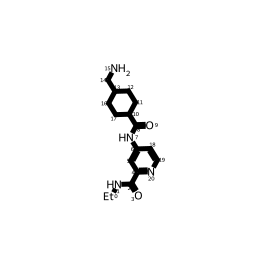 CCNC(=O)c1cc(NC(=O)C2CCC(CN)CC2)ccn1